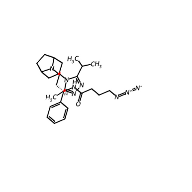 Cc1nnc(C(C)C)n1C1CC2CCC(C1)N2CC[C@H](NC(=O)CCCN=[N+]=[N-])c1ccccc1